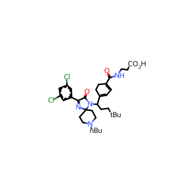 CCCCN1CCC2(CC1)N=C(c1cc(Cl)cc(Cl)c1)C(=O)N2C(CCC(C)(C)C)C1=CC=C(C(=O)NCCC(=O)O)CC1